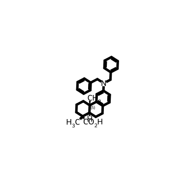 C[C@]1(C(=O)O)CCC[C@]2(C)c3cc(N(Cc4ccccc4)Cc4ccccc4)ccc3CC[C@@H]12